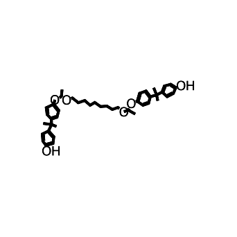 CC(OCCCCCCCCCOC(C)Oc1ccc(C(C)(C)c2ccc(O)cc2)cc1)Oc1ccc(C(C)(C)c2ccc(O)cc2)cc1